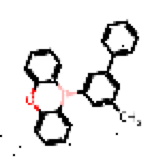 Cc1cc(B2c3ccccc3Oc3ccccc32)cc(-c2ccccc2)c1